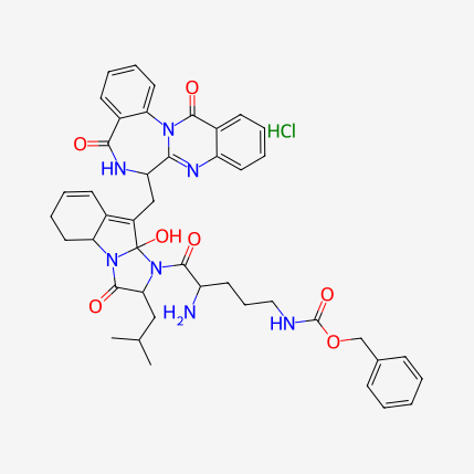 CC(C)CC1C(=O)N2C3CCC=CC3=C(CC3NC(=O)c4ccccc4-n4c3nc3ccccc3c4=O)C2(O)N1C(=O)C(N)CCCNC(=O)OCc1ccccc1.Cl